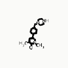 Cc1cc(-c2ccc(CN3CCNCC3)cc2)cn(C)c1=O